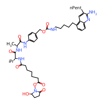 CCCCCc1cc2c(CCCCCNC(=O)OCc3ccc(NC(=O)[C@H](C)NC(=O)[C@@H](NC(=O)CCCCCC(=O)ON4C(=O)CCC4O)C(C)C)cc3)cccc2nc1N